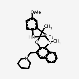 COc1ccc2c(c1)C(C)(C)C1(CN(C)c3c(c(CN4CCCCC4)cc4ccccc34)O1)N2